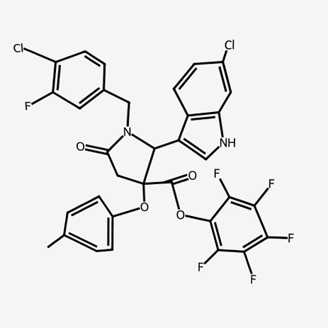 Cc1ccc(OC2(C(=O)Oc3c(F)c(F)c(F)c(F)c3F)CC(=O)N(Cc3ccc(Cl)c(F)c3)C2c2c[nH]c3cc(Cl)ccc23)cc1